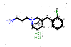 Cl.Cl.NCCCN1CC2(Cc3ccccc3F)CCC1CC2